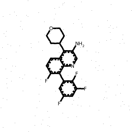 Nc1cnc2c(-c3cc(F)cc(F)c3F)c(F)ccc2c1C1CCOCC1